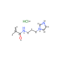 C=C(C)C(=O)NCCCn1ccnc1.Cl